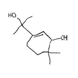 CC(C)(O)C1=CC(O)C(C)(C)CC1